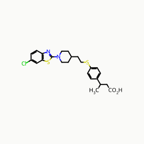 CC(CC(=O)O)c1ccc(SCCC2CCN(c3nc4ccc(Cl)cc4s3)CC2)cc1